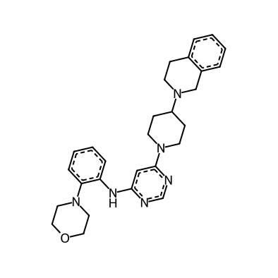 c1ccc2c(c1)CCN(C1CCN(c3cc(Nc4ccccc4N4CCOCC4)ncn3)CC1)C2